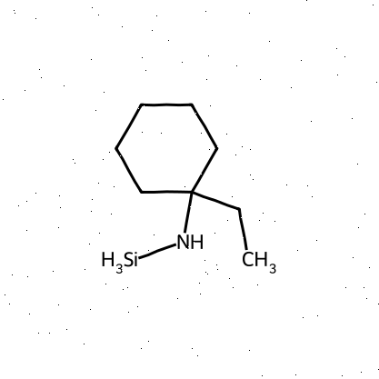 CCC1(N[SiH3])CCCCC1